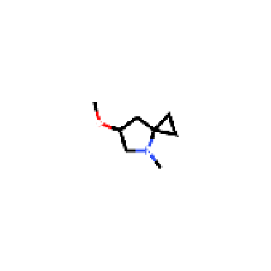 COC1CN(C)C2(CC2)C1